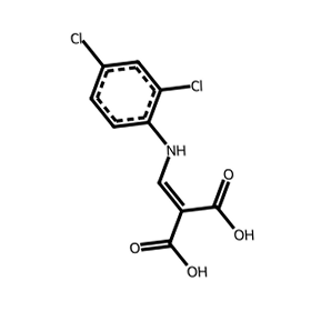 O=C(O)C(=CNc1ccc(Cl)cc1Cl)C(=O)O